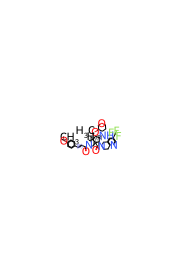 COc1ccc(/C=C/C(=O)N2C[C@@H]3C[C@@H](NC4CCOCC4OC)C[C@]3(C(=O)N3CCc4ncc(C(F)(F)F)cc4C3)C2)cc1